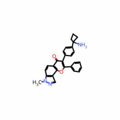 Cn1ncc2c3oc(-c4ccccc4)c(-c4ccc(C5(N)CCC5)cc4)c(=O)c3ccc21